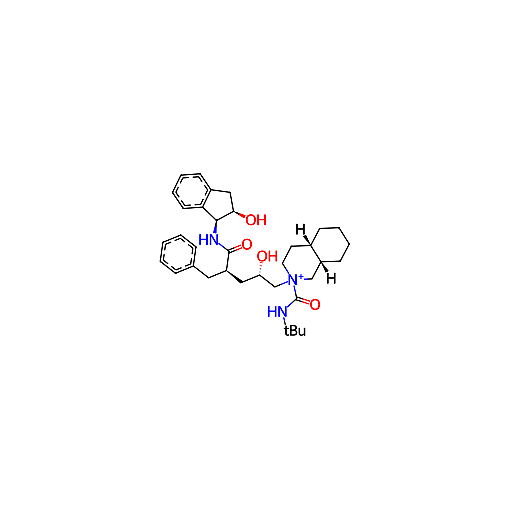 CC(C)(C)NC(=O)[N+]1(C[C@@H](O)C[C@@H](Cc2ccccc2)C(=O)N[C@H]2c3ccccc3C[C@H]2O)CC[C@@H]2CCCC[C@@H]2C1